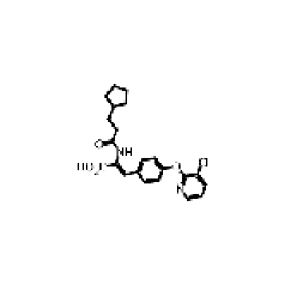 O=C(CCC1CCCC1)NC(=Cc1ccc(Oc2ncccc2Cl)cc1)C(=O)O